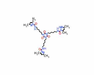 CC(=N)/C=C(/C)NC(=O)NCCCCCCn1c(=O)n(CCCCCCNC(=O)n2nc(C)cc2C)c(=O)n(CCCCCCNC(=O)n2nc(C)cc2C)c1=O